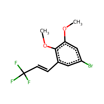 COc1cc(Br)cc(C=CC(F)(F)F)c1OC